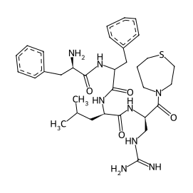 CC(C)C[C@@H](NC(=O)C(Cc1ccccc1)NC(=O)[C@H](N)Cc1ccccc1)C(=O)N[C@H](CNC(=N)N)C(=O)N1CCCSCC1